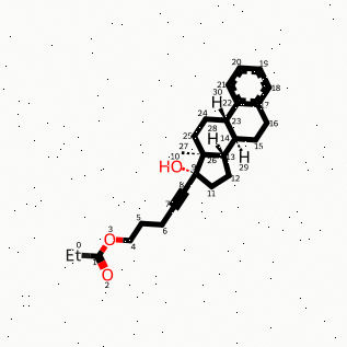 CCC(=O)OCCCC#C[C@]1(O)CC[C@H]2[C@@H]3CCc4ccccc4[C@H]3CC[C@@]21C